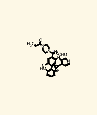 C=CC(=O)N1CCN(/C(=N/C)c2cc(Cl)c(-c3c(O)cccc3F)cc2N(C=O)c2cnccc2C2CC2)CC1